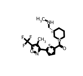 CNC[C@@H]1CCCN(C(=O)c2ccc(-c3noc(C(F)(F)F)c3C)s2)C1